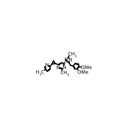 COc1ccc(Cc2nc(C)nn2-c2cc(C3CC3c3ccc(C)cn3)nc(C)n2)cc1OC